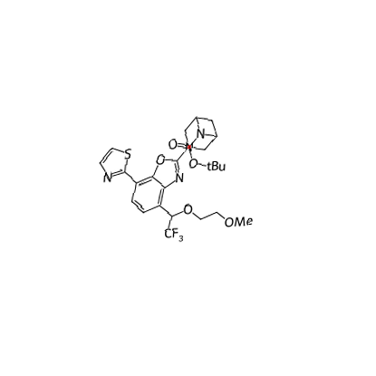 COCCOC(c1ccc(-c2nccs2)c2oc(N3CC4CC(C3)N4C(=O)OC(C)(C)C)nc12)C(F)(F)F